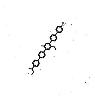 CCc1cc(-c2ccc(-c3ccc(C(C)CC)cc3)cc2)c(C)cc1-c1ccc(-c2ccc(Br)cc2)cc1